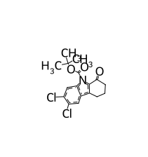 CC(C)(C)OC(=O)n1c2c(c3cc(Cl)c(Cl)cc31)CCCC2=O